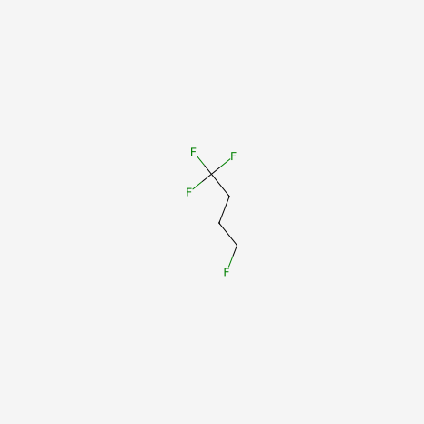 FCCCC(F)(F)F